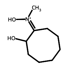 C[N+](O)=C1CCCCCCC1O